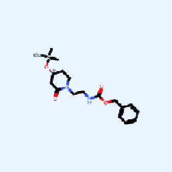 CC(C)(C)[Si](C)(C)O[C@@H]1CCN(CCNC(=O)OCc2ccccc2)C(=O)C1